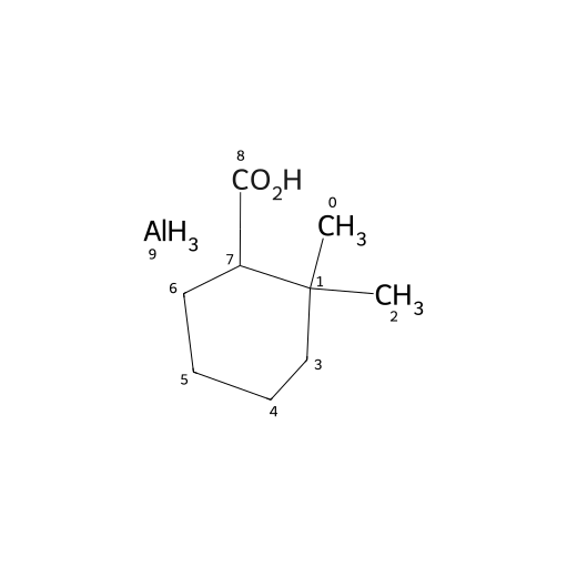 CC1(C)CCCCC1C(=O)O.[AlH3]